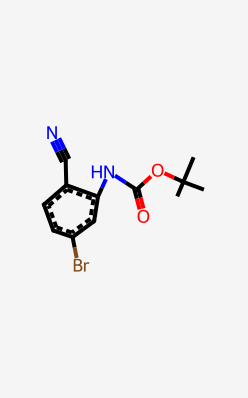 CC(C)(C)OC(=O)Nc1cc(Br)ccc1C#N